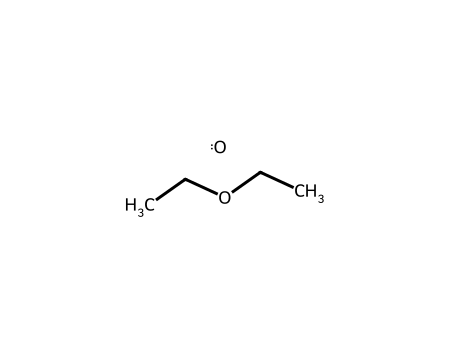 CCOCC.[O]